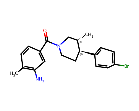 Cc1ccc(C(=O)N2CC[C@H](c3ccc(Br)cc3)[C@@H](C)C2)cc1N